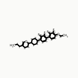 CCCC1=COC(C2CCC(c3ccc(-c4ccc(OCC)c(F)c4F)c(F)c3F)CC2)CC1